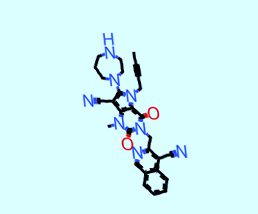 CC#CCn1c(N2CCCNCC2)c(C#N)c2c1c(=O)n(Cc1ncc3ccccc3c1C#N)c(=O)n2C